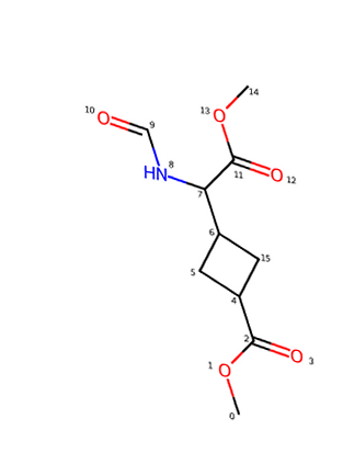 COC(=O)C1CC(C(NC=O)C(=O)OC)C1